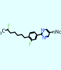 CCCCCCCCCc1cnc(-c2ccc(CCCCCC(C)F)c(F)c2)nc1